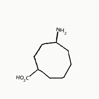 NC1CCCCC(C(=O)O)CC1